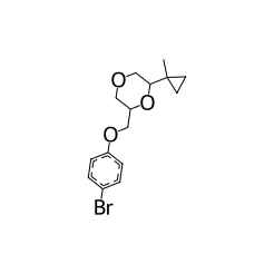 CC1(C2COCC(COc3ccc(Br)cc3)O2)CC1